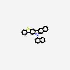 c1ccc2cc3c(cc2c1)c1cc2sc4ccccc4c2cc1n3-c1cccc2ccccc12